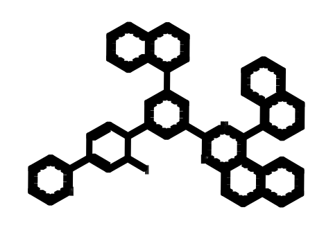 IC1C=C(c2ccccn2)C=CC1c1cc(-c2nc(-c3cccc4ccccc34)c3c(ccc4ccccc43)n2)cc(-c2cccc3ccccc23)c1